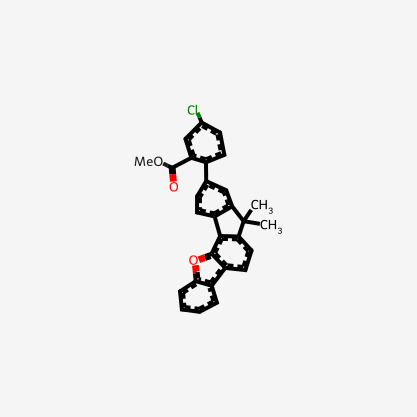 COC(=O)c1cc(Cl)ccc1-c1ccc2c(c1)C(C)(C)c1ccc3c(oc4ccccc43)c1-2